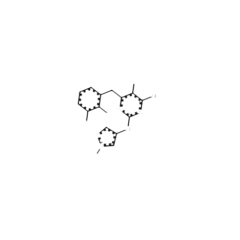 Cn1cc(Nc2nc(N)c(F)c(Cc3cccc(F)c3F)n2)cn1